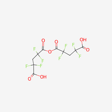 O=C(O)C(F)(F)CC(F)(F)C(=O)OC(=O)C(F)(F)CC(F)(F)C(=O)O